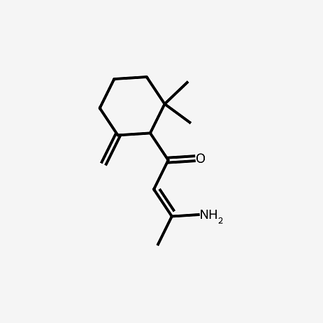 C=C1CCCC(C)(C)C1C(=O)/C=C(/C)N